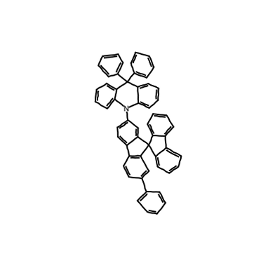 c1ccc(-c2ccc3c(c2)C2(c4ccccc4-c4ccccc42)c2cc(N4c5ccccc5C(c5ccccc5)(c5ccccc5)c5ccccc54)ccc2-3)cc1